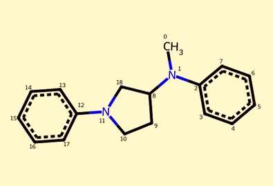 CN(c1ccccc1)C1CCN(c2ccccc2)C1